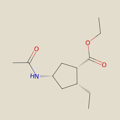 CCOC(=O)[C@H]1C[C@@H](NC(C)=O)C[C@H]1CC